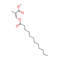 CCCCCCCCCCCC(=O)OC=C(C)C(=O)OC